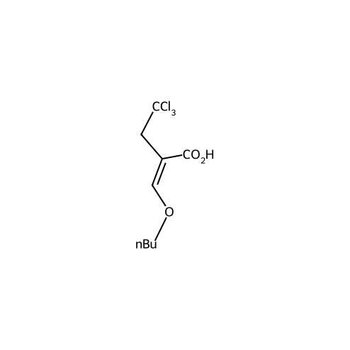 CCCCO/C=C(/CC(Cl)(Cl)Cl)C(=O)O